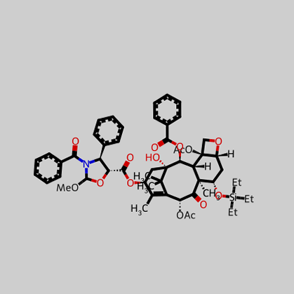 CC[Si](CC)(CC)O[C@H]1C[C@H]2OC[C@@]2(OC(C)=O)[C@H]2[C@H](OC(=O)c3ccccc3)[C@]3(O)C[C@H](OC(=O)[C@@H]4OC(OC)N(C(=O)c5ccccc5)[C@H]4c4ccccc4)C(C)=C([C@@H](OC(C)=O)C(=O)[C@]12C)C3(C)C